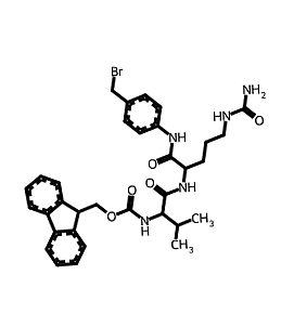 CC(C)C(NC(=O)OCC1c2ccccc2-c2ccccc21)C(=O)NC(CCCNC(N)=O)C(=O)Nc1ccc(CBr)cc1